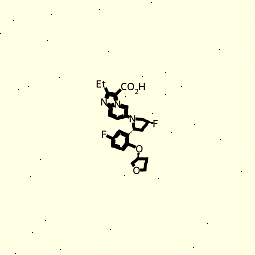 CCc1nc2ccc(N3C[C@@H](F)C[C@@H]3c3cc(F)ccc3O[C@H]3CCOC3)cn2c1C(=O)O